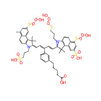 Cc1cc(SOOO)cc2c3c(ccc12)N(CCCS(=O)(=O)O)/C(=C/C=C(/C=C/C1=[N+](CCCSOOO)c2ccc4c(SOOO)cc(S(=O)(=O)O)cc4c2C1(C)C)c1cccc(CCCCC(=O)O)c1)C3(C)C